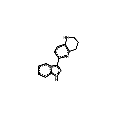 c1ccc2c(-c3ccc4c(n3)CCCN4)n[nH]c2c1